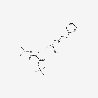 CC(C)(C)OC(=O)N(CCC[C@H](N)CNCCc1cccnc1)C(=N)N[N+](=O)[O-]